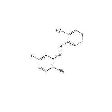 Nc1ccccc1N=Nc1cc(F)ccc1N